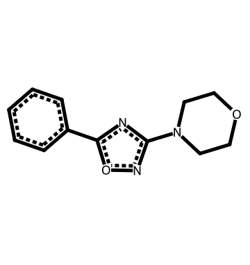 c1ccc(-c2nc(N3CCOCC3)no2)cc1